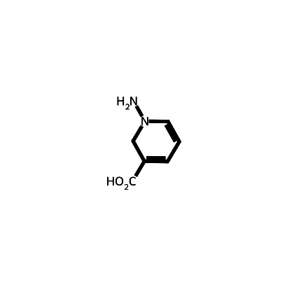 NN1C=CC=C(C(=O)O)C1